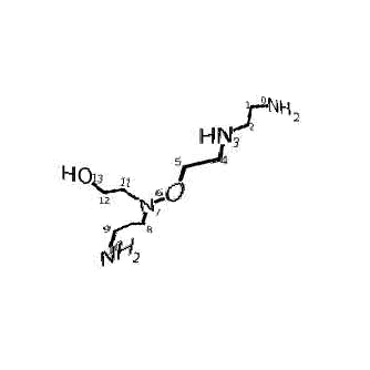 NCCNCCON(CCN)CCO